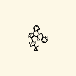 CC1(c2noc(-c3ncn4c3c(=O)n(Cc3ccccn3)c3ccccc34)n2)CC1